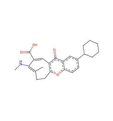 CNC1=C(/C)CCc2oc3ccc(C4CCCCC4)cc3c(=O)c2/C=C\1C(=O)O